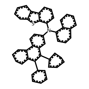 c1ccc(-c2c(-c3ccccc3)c3cc(N(c4cccc5ccccc45)c4cccc5c4sc4ccccc45)ccc3c3ccccc23)cc1